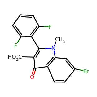 Cn1c(-c2c(F)cccc2F)c(C(=O)O)c(=O)c2ccc(Br)cc21